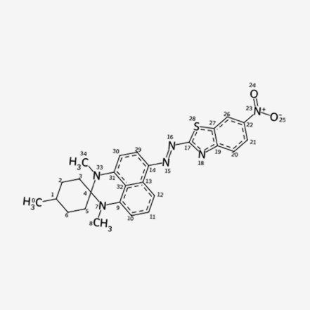 CC1CCC2(CC1)N(C)c1cccc3c(N=Nc4nc5ccc([N+](=O)[O-])cc5s4)ccc(c13)N2C